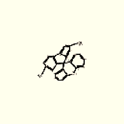 Cc1ccc2c(c1)C1(c3ccccc3Nc3ccccc31)c1cc(C)ccc1-2